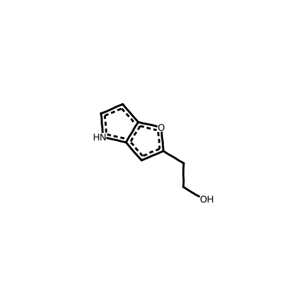 OCCc1cc2[nH]ccc2o1